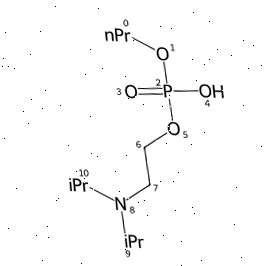 CCCOP(=O)(O)OCCN(C(C)C)C(C)C